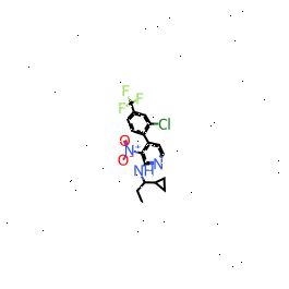 CCC(Nc1nccc(-c2ccc(C(F)(F)F)cc2Cl)c1[N+](=O)[O-])C1CC1